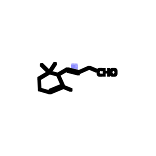 CC1=CCCC(C)(C)C1/C=C/CC=O